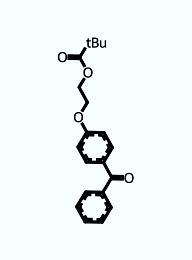 CC(C)(C)C(=O)OCCOc1ccc(C(=O)c2ccccc2)cc1